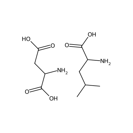 CC(C)CC(N)C(=O)O.NC(CC(=O)O)C(=O)O